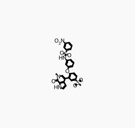 Cn1cc(-c2cc(S(C)(=O)=O)ccc2Oc2cccc(NS(=O)(=O)c3cccc([N+](=O)[O-])c3)c2)c2cc[nH]c2c1=O